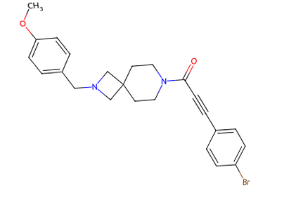 COc1ccc(CN2CC3(CCN(C(=O)C#Cc4ccc(Br)cc4)CC3)C2)cc1